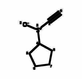 C#C[S+]([O-])C1CCCC1